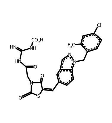 N=C(NC(=O)O)NC(=O)CN1C(=O)SC(=Cc2ccc3c(cnn3Cc3ccc(Cl)cc3C(F)(F)F)c2)C1=O